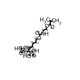 C=C(C)C(=O)OCCNC(=O)OCCCCCC(OP(=O)(O)O)P(=O)(O)O